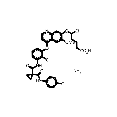 CCC(CCCC(=O)O)Oc1cc2nccc(Oc3cccc(NC(=O)C4(C(=O)Nc5ccc(F)cc5)CC4)c3Cl)c2cc1OC.N